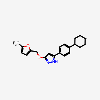 FC(F)(F)c1ccc(COc2cc(-c3ccc(C4CC[CH]CC4)cc3)[nH]n2)o1